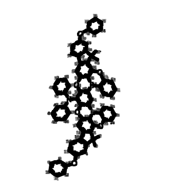 CC1(C)c2cc(Oc3ccccc3)ccc2-c2cc3c4c(c21)Oc1ccccc1B4c1cc2c(c(N(c4ccccc4)c4ccccc4)c1O3)Oc1cc3c(c4c1B2c1ccccc1O4)C(C)(C)c1cc(Oc2ccccc2)ccc1-3